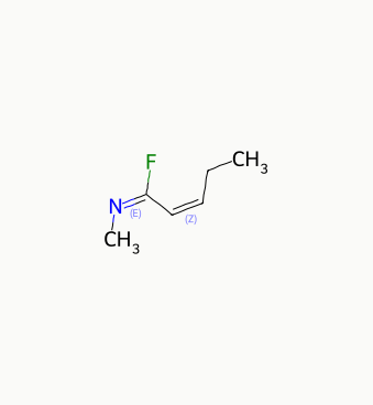 CC/C=C\C(F)=N/C